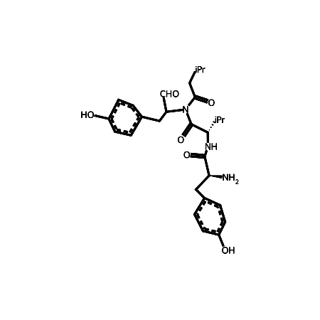 CC(C)CC(=O)N(C(=O)[C@@H](NC(=O)[C@@H](N)Cc1ccc(O)cc1)C(C)C)C(C=O)Cc1ccc(O)cc1